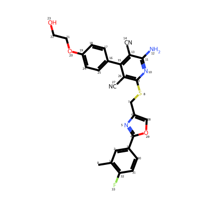 Cc1cc(-c2nc(CSc3nc(N)c(C#N)c(-c4ccc(OCCO)cc4)c3C#N)co2)ccc1F